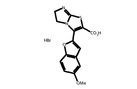 Br.COc1ccc2oc(C3=C(C(=O)O)SC4=NCCN43)cc2c1